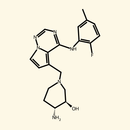 Cc1ccc(F)c(Nc2ncnn3ccc(CN4CC[C@@H](N)[C@H](O)C4)c23)c1